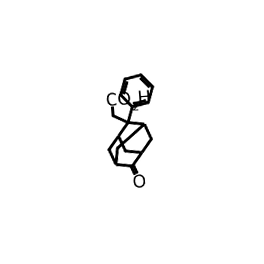 O=C(O)CC1(c2ccccc2)C2CC3CC1CC(C2)C3=O